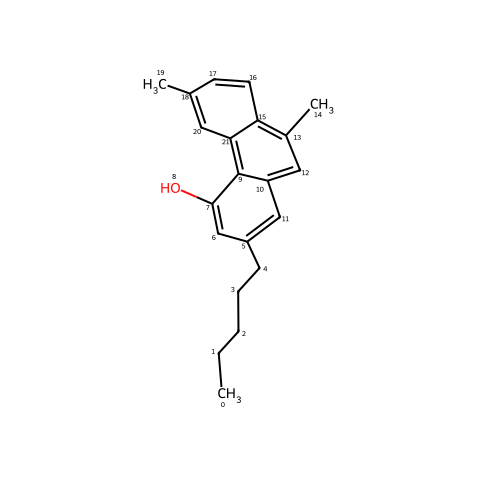 CCCCCc1cc(O)c2c(c1)cc(C)c1ccc(C)cc12